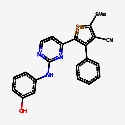 CSc1sc(-c2ccnc(Nc3cccc(O)c3)n2)c(-c2ccccc2)c1C#N